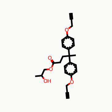 C#CCOc1ccc(C(C)(CCC(=O)OCC(C)O)c2ccc(OCC#C)cc2)cc1